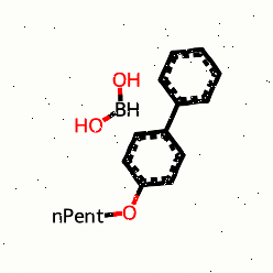 CCCCCOc1ccc(-c2ccccc2)cc1.OBO